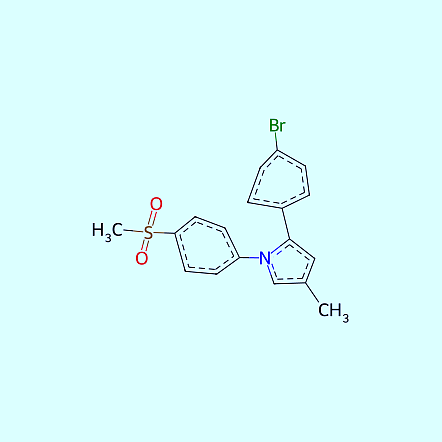 Cc1cc(-c2ccc(Br)cc2)n(-c2ccc(S(C)(=O)=O)cc2)c1